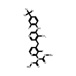 [2H]C([2H])([2H])c1ccc(Nc2cncc(Cc3ccnc(N(C(=O)OC(C)(C)C)C(=O)OC(C)(C)C)c3F)c2C)c(F)c1